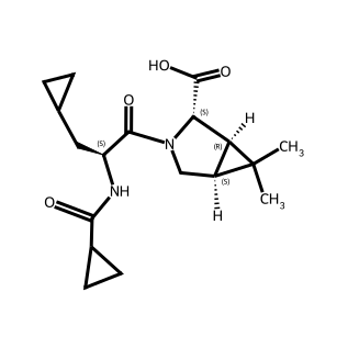 CC1(C)[C@@H]2[C@@H](C(=O)O)N(C(=O)[C@H](CC3CC3)NC(=O)C3CC3)C[C@@H]21